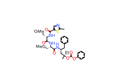 CC[C@](C)(C[C@H](Cc1ccccc1)NC(=O)[C@H](COC)NC(=O)[C@H](COC)NC(=O)c1cnc(C)s1)OC(=O)Oc1ccccc1